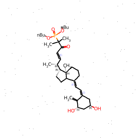 C=C1/C(=C\C=C2/CCC[C@@]3(C)C2CC[C@@H]3[C@H](C)/C=C/C(=O)C(C)(C)P(=O)(OCCCC)OCCCC)C[C@@H](O)C[C@@H]1O